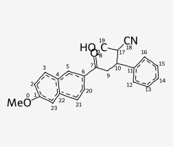 COc1ccc2cc(C(=O)CC(c3ccccc3)C(C#N)C(=O)O)ccc2c1